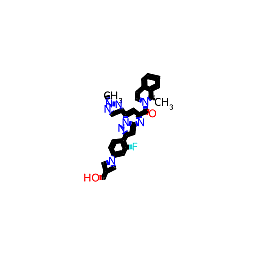 C[C@@H]1c2ccccc2CCN1C(=O)c1cc(-c2cnn(C)n2)n2nc(-c3ccc(N4CC(CO)C4)cc3F)cc2n1